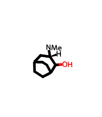 CN[C@H]1CC2CCC(CC2)C1O